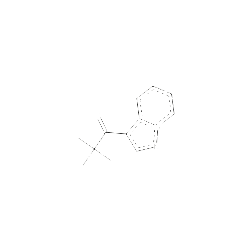 CC(C)(C)C(=O)c1cnn2ccccc12